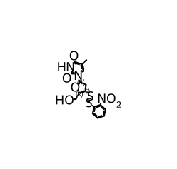 Cc1cn([C@H]2C[C@H](SSc3ccccc3[N+](=O)[O-])[C@@H](CO)O2)c(=O)[nH]c1=O